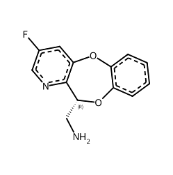 NC[C@H]1Oc2ccccc2Oc2cc(F)cnc21